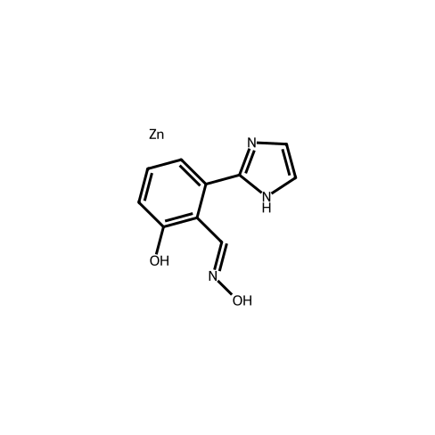 ON=Cc1c(O)cccc1-c1ncc[nH]1.[Zn]